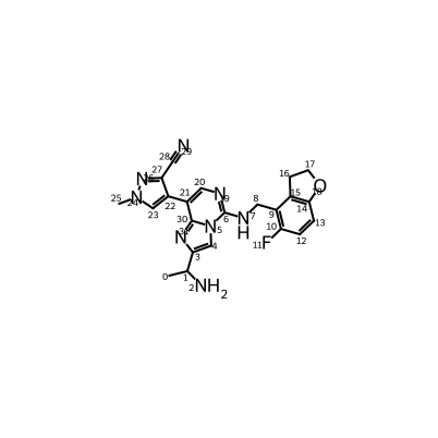 CC(N)c1cn2c(NCc3c(F)ccc4c3CCO4)ncc(-c3cn(C)nc3C#N)c2n1